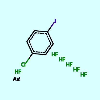 Clc1ccc(I)cc1.F.F.F.F.F.F.[As]